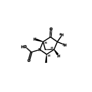 [2H]C1([2H])C(=O)[C@@H]2C[C@H]1[C@@H](C)N2C(=O)O